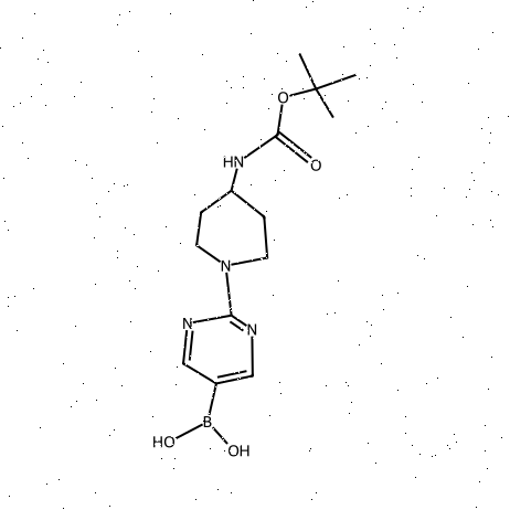 CC(C)(C)OC(=O)NC1CCN(c2ncc(B(O)O)cn2)CC1